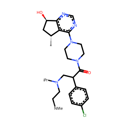 CNCCN(CC(C(=O)N1CCN(c2ncnc3c2[C@H](C)C[C@H]3O)CC1)c1ccc(Cl)cc1)C(C)C